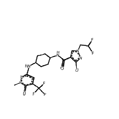 Cn1nc(NC2CCC(NC(=O)c3cn(CC(F)F)nc3Cl)CC2)cc(C(F)(F)F)c1=O